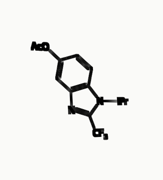 CC(=O)Oc1ccc2c(c1)nc(C(F)(F)F)n2C(C)C